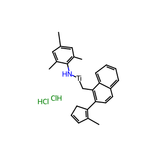 CC1=C(c2ccc3ccccc3c2[CH2][Ti][NH]c2c(C)cc(C)cc2C)CC=C1.Cl.Cl